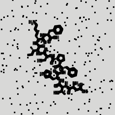 CC[C@H](C)[C@H](NC(=O)[C@H](CS)NC(=O)[C@@H]1CCCN1C(=O)[C@H](Cc1ccccc1)NC(=O)[C@H](Cc1c[nH]cn1)NC(=O)[C@@H](NC(=O)[C@@H](N)CC(=O)O)[C@@H](C)O)C(=O)N[C@H](CCCCN)C(=O)N[C@@H](Cc1ccccc1)C(=O)O